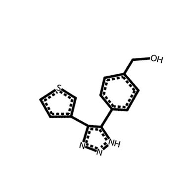 OCc1ccc(-c2[nH]nnc2-c2ccsc2)cc1